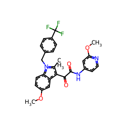 COc1ccc2c(c1)c(C(=O)C(=O)Nc1ccnc(OC)c1)c(C)n2Cc1ccc(C(F)(F)F)cc1